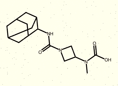 CN(C(=O)O)C1CN(C(=O)NC2C3CC4CC(C3)CC2C4)C1